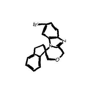 Brc1ccc2nc3n(c2c1)C1(CCc2ccccc21)COC3